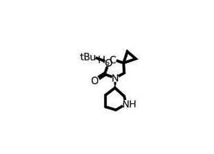 CC1(CN(C(=O)OC(C)(C)C)[C@@H]2CCCNC2)CC1